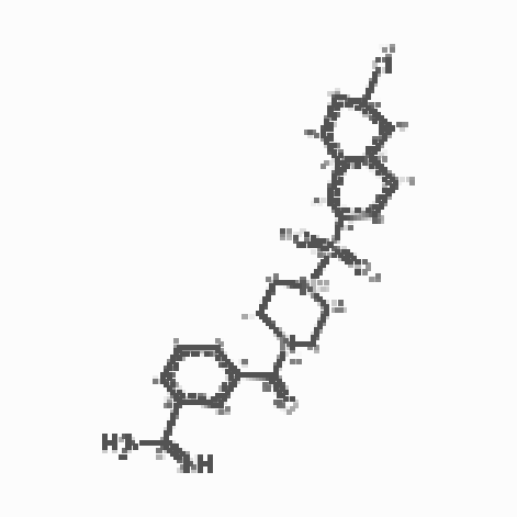 N=C(N)c1cccc(C(=O)N2CCN(S(=O)(=O)c3ccc4cc(Cl)ccc4c3)CC2)c1